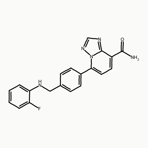 NC(=O)c1ccc(-c2ccc(CNc3ccccc3F)cc2)n2n[c]nc12